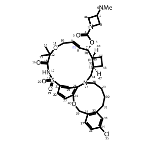 CNC1CN(C(=O)O[C@H]2/C=C/COC(C)(C)C(=O)NS(=O)(=O)c3ccc4c(c3)N(CCCCc3cc(Cl)ccc3CO4)C[C@@H]3CC[C@H]32)C1